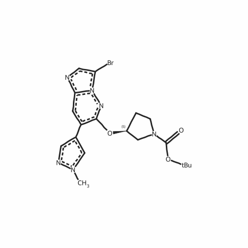 Cn1cc(-c2cc3ncc(Br)n3nc2O[C@H]2CCN(C(=O)OC(C)(C)C)C2)cn1